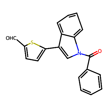 O=Cc1ccc(-c2cn(C(=O)c3ccccc3)c3ccccc23)s1